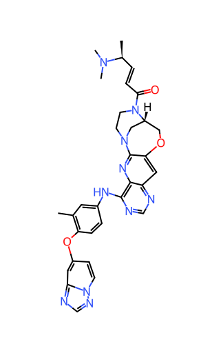 Cc1cc(Nc2ncnc3cc4c(nc23)N2CCN(C(=O)/C=C/[C@H](C)N(C)C)[C@H](CO4)C2)ccc1Oc1ccn2ncnc2c1